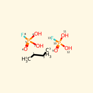 CCCC.O=P(O)(O)F.O=P(O)(O)F